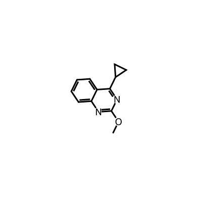 COc1nc(C2CC2)c2ccccc2n1